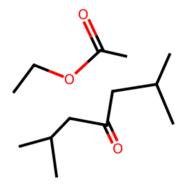 CC(C)CC(=O)CC(C)C.CCOC(C)=O